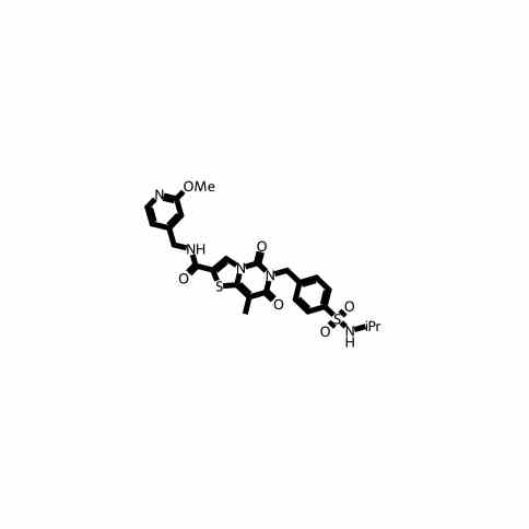 COc1cc(CNC(=O)c2cn3c(=O)n(Cc4ccc(S(=O)(=O)NC(C)C)cc4)c(=O)c(C)c3s2)ccn1